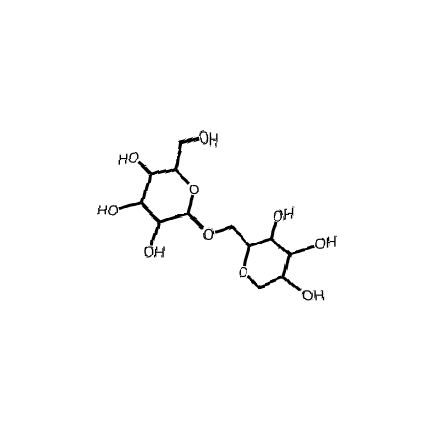 OCC1OC(OCC2OCC(O)C(O)C2O)C(O)C(O)C1O